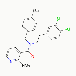 CNc1ncccc1C(=O)N(CCc1ccc(Cl)c(Cl)c1)Cc1ccc(C(C)(C)C)cc1